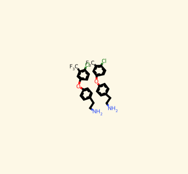 NCCc1ccc(Oc2ccc(Cl)c(C(F)(F)F)c2)cc1.NCCc1ccc(Oc2ccc(Cl)c(C(F)(F)F)c2)cc1